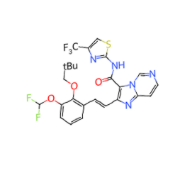 CC(C)(C)COc1c(C=Cc2nc3ccncn3c2C(=O)Nc2nc(C(F)(F)F)cs2)cccc1OC(F)F